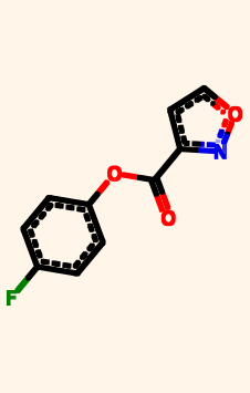 O=C(Oc1ccc(F)cc1)c1ccon1